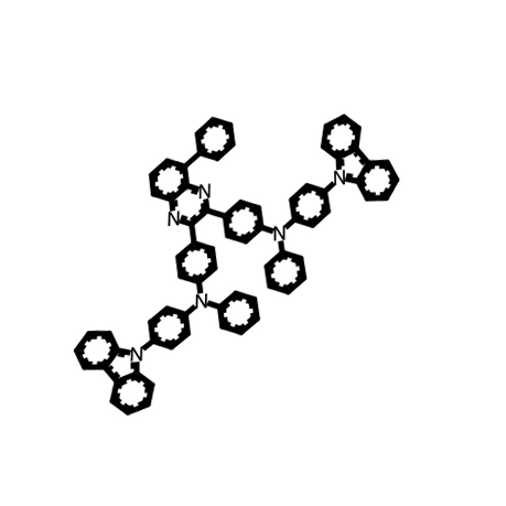 c1ccc(-c2cccc3nc(-c4ccc(N(c5ccccc5)c5ccc(-n6c7ccccc7c7ccccc76)cc5)cc4)c(-c4ccc(N(c5ccccc5)c5ccc(-n6c7ccccc7c7ccccc76)cc5)cc4)nc23)cc1